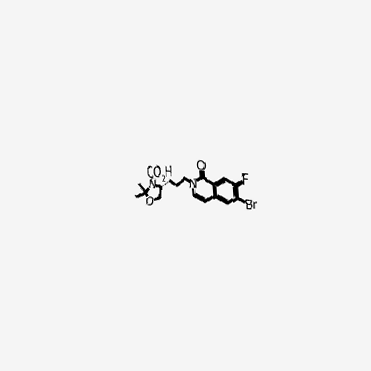 CC1(C)OC[C@@H](CCCn2ccc3cc(Br)c(F)cc3c2=O)N1C(=O)O